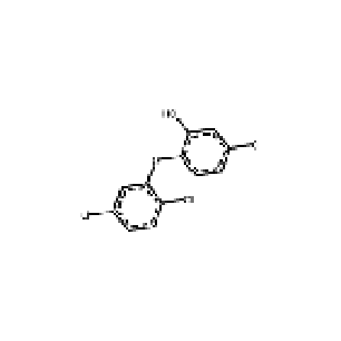 Oc1cc(Cl)ccc1Oc1cc(Cl)ccc1Cl